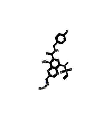 C=CS(=O)(=O)N(C)c1nc(C(=O)NCc2ccc(F)cc2)c(O)c2nc(/C=N/OC)cnc12